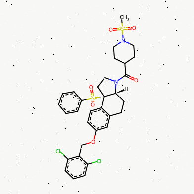 CS(=O)(=O)N1CCC(C(=O)N2CC[C@@]3(S(=O)(=O)c4ccccc4)c4ccc(OCc5c(Cl)cccc5Cl)cc4CC[C@@H]23)CC1